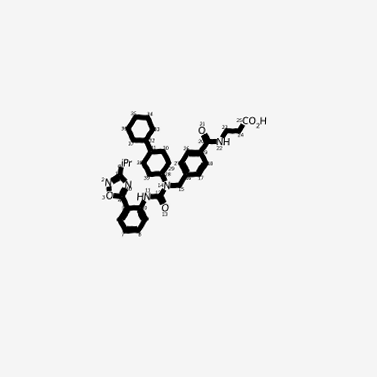 CC(C)c1noc(-c2ccccc2NC(=O)N(Cc2ccc(C(=O)NCCC(=O)O)cc2)C2CCC(C3CCCCC3)CC2)n1